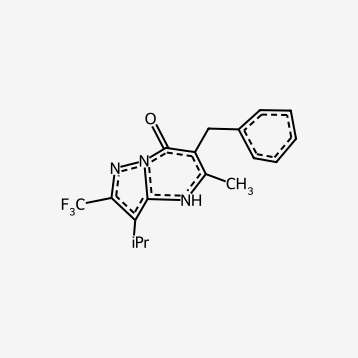 Cc1[nH]c2c(C(C)C)c(C(F)(F)F)nn2c(=O)c1Cc1ccccc1